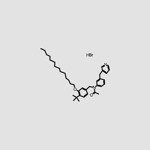 Br.CCCCCCCCCCCCCCOc1cc(CN(C(C)=O)c2cccc(Cc3cccnc3)c2)ccc1C(C)(C)C